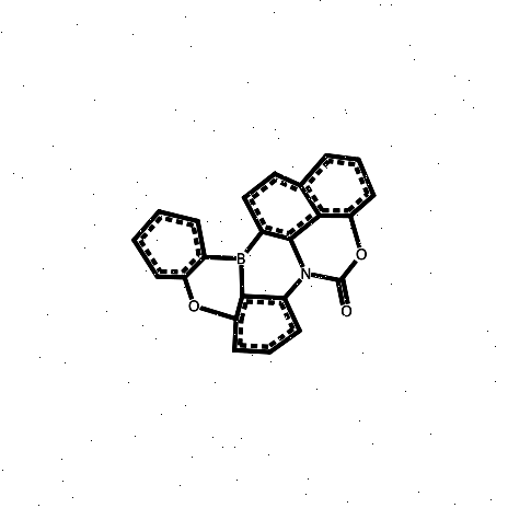 O=C1Oc2cccc3ccc4c(c23)N1c1cccc2c1B4c1ccccc1O2